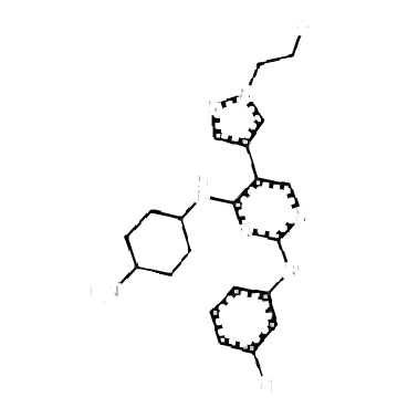 NC1CCC(Nc2nc(Nc3cccc(Cl)c3)ncc2-c2cnn(CCO)c2)CC1